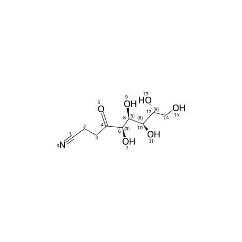 N#CCCC(=O)[C@H](O)[C@@H](O)[C@H](O)[C@H](O)CO